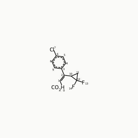 O=C(O)C=C(c1ccc(Cl)cc1)C1CC1(F)F